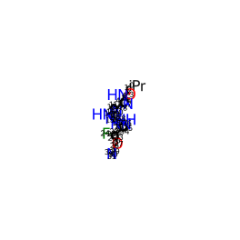 CC(C)CC(=O)Nc1cncc(-c2ccc3[nH]nc(-c4nc5c(-c6cc(F)cc(OCCN(C)C)c6)ccnc5[nH]4)c3n2)c1